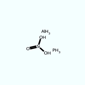 O=[Si](O)O.P.[AlH3]